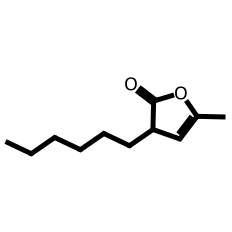 CCCCCCC1C=C(C)OC1=O